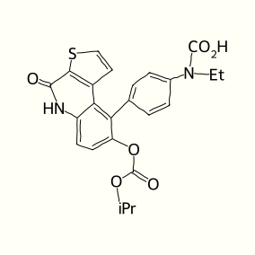 CCN(C(=O)O)c1ccc(-c2c(OC(=O)OC(C)C)ccc3[nH]c(=O)c4sccc4c23)cc1